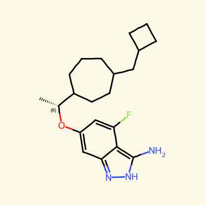 C[C@@H](Oc1cc(F)c2c(N)[nH]nc2c1)C1CCCC(CC2CCC2)CC1